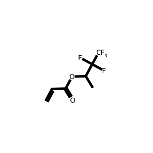 C=CC(=O)OC(C)C(F)(F)C(F)(F)F